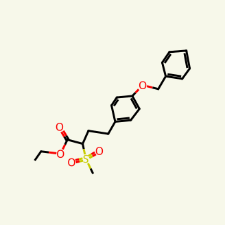 CCOC(=O)C(CCc1ccc(OCc2ccccc2)cc1)S(C)(=O)=O